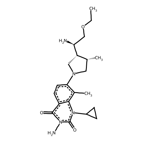 CCOC[C@H](N)[C@H]1CN(c2ccc3c(=O)n(N)c(=O)n(C4CC4)c3c2C)C[C@H]1C